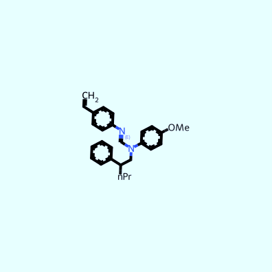 C=Cc1ccc(/N=C/N(CC(CCC)c2ccccc2)c2ccc(OC)cc2)cc1